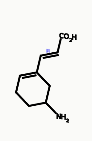 NC1CCC=C(/C=C/C(=O)O)C1